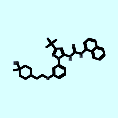 CC1(O)CCN(CCOc2cccc(-n3nc(C(C)(C)C)cc3NC(=O)Nc3cccc4ccccc34)c2)CC1